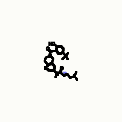 CN(C)C/C=C/C(=O)N(C)c1cnc2c(c1)CN(C(=O)c1cc(C(C)(C)C)ccc1O)CC2